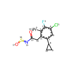 CC(C)c1c(F)c(Cl)cc(C2CC2)c1CC(=O)N=S=O